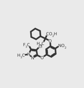 Cn1nc(Oc2ccc([N+](=O)[O-])c(OC(C)(C(=O)O)C3CCCCC3)c2)c(Cl)c1C(F)(F)F